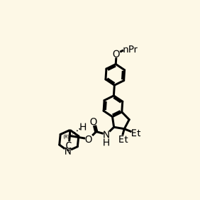 CCCOc1ccc(-c2ccc3c(c2)CC(CC)(CC)C3NC(=O)O[C@H]2CN3CCC2CC3)cc1